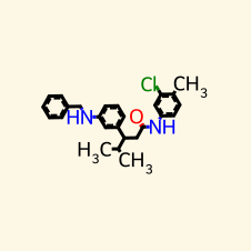 Cc1ccc(NC(=O)CC(c2cccc(NCc3ccccc3)c2)C(C)C)cc1Cl